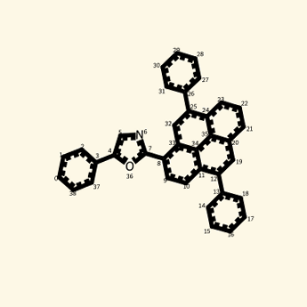 c1ccc(-c2cnc(-c3ccc4c(-c5ccccc5)cc5cccc6c(-c7ccccc7)cc3c4c56)o2)cc1